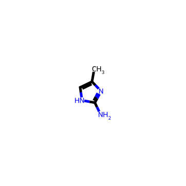 Cc1c[nH]c(N)n1